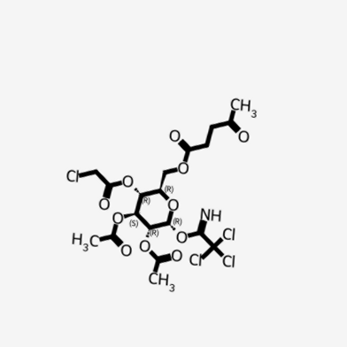 CC(=O)CCC(=O)OC[C@H]1O[C@H](OC(=N)C(Cl)(Cl)Cl)[C@H](OC(C)=O)[C@@H](OC(C)=O)[C@@H]1OC(=O)CCl